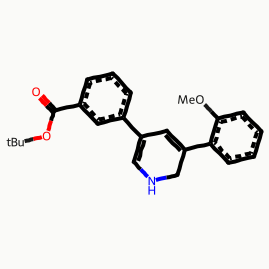 COc1ccccc1C1=CC(c2cccc(C(=O)OC(C)(C)C)c2)=CNC1